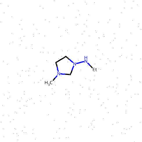 CCNN1CCN(C)C1